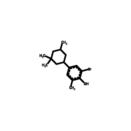 Cc1cc(C2CC(C)CC(C)(C)C2)cc(Br)c1O